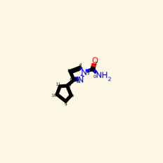 NC(=O)n1ccc(C2CCCC2)n1